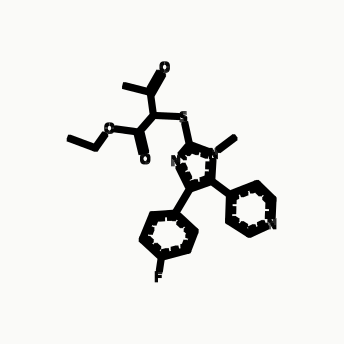 CCOC(=O)C(Sc1nc(-c2ccc(F)cc2)c(-c2ccncc2)n1C)C(C)=O